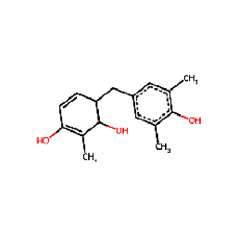 CC1=C(O)C=CC(Cc2cc(C)c(O)c(C)c2)C1O